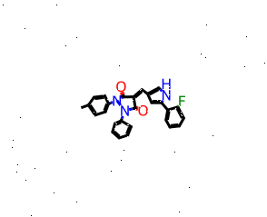 Cc1ccc(N2C(=O)/C(=C/c3c[nH]c(-c4ccccc4F)c3)C(=O)N2c2ccccc2)cc1